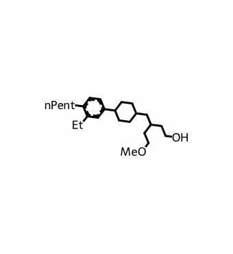 CCCCCc1ccc(C2CCC(CC(CCO)CCOC)CC2)cc1CC